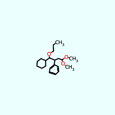 CCCOC(C1CCCCC1)C(CC(OC)OC)c1ccccc1